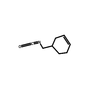 O=C=NCC1CC=CCC1